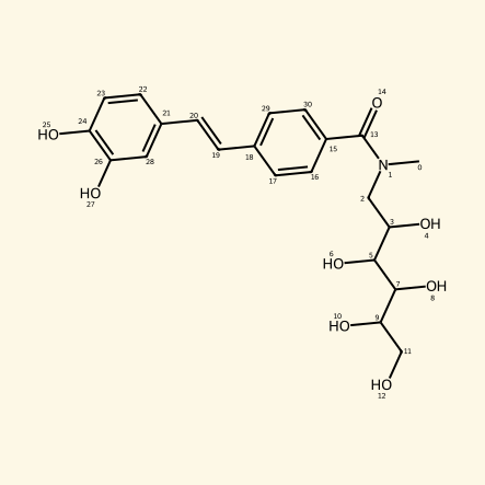 CN(CC(O)C(O)C(O)C(O)CO)C(=O)c1ccc(C=Cc2ccc(O)c(O)c2)cc1